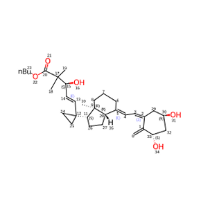 C=C1/C(=C\C=C2/CCC[C@]3(C)[C@@H](C4(/C=C/[C@H](O)C(C)(C)C(=O)OCCCC)CC4)CC[C@@H]23)C[C@@H](O)C[C@@H]1O